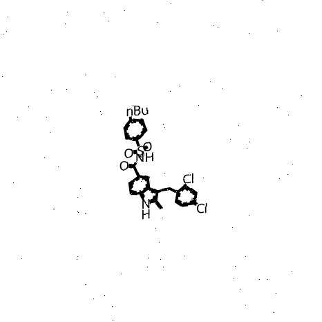 CCCCc1ccc(S(=O)(=O)NC(=O)c2ccc3[nH]c(C)c(Cc4ccc(Cl)cc4Cl)c3c2)cc1